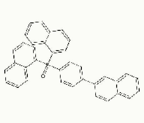 O=P(c1ccc(-c2ccc3ccccc3c2)cc1)(c1cccc2ccccc12)c1cccc2ccccc12